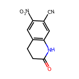 N#Cc1cc2c(cc1[N+](=O)[O-])CCC(=O)N2